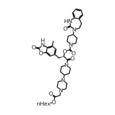 CCCCCCOC(=O)CN1CCN(C2CCN(C(=O)[C@@H](Cc3cc(C)c4[nH]c(=O)oc4c3)OC(=O)N3CCC(N4CCc5ccccc5NC4=O)CC3)CC2)CC1